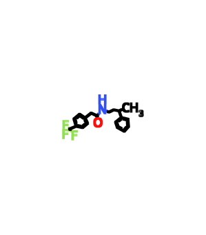 CC(CCNC(=O)Cc1ccc(C(F)(F)F)cc1)c1ccccc1